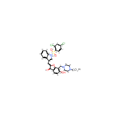 O=C1C(=Cc2cn(S(=O)(=O)c3ccc(Cl)cc3Cl)c3ccccc23)Oc2c1ccc(O)c2CN1CCN(C(=O)O)CC1